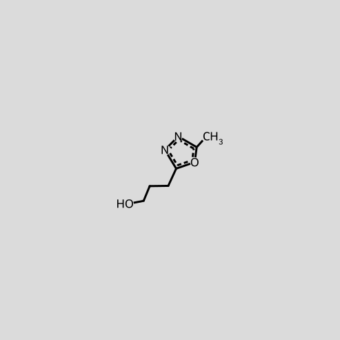 Cc1nnc(CCCO)o1